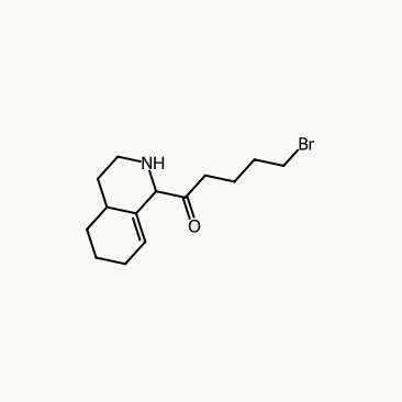 O=C(CCCCBr)C1NCCC2CCCC=C21